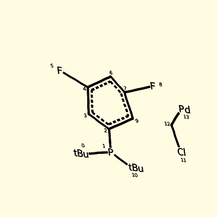 CC(C)(C)P(c1cc(F)cc(F)c1)C(C)(C)C.Cl[CH2][Pd]